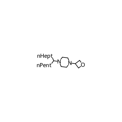 CCCCCCCC(CCCCC)N1CCN(C2COC2)CC1